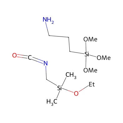 CCO[Si](C)(C)CN=C=O.CO[Si](CCCN)(OC)OC